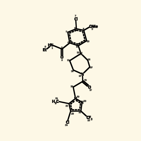 CCNC(=O)c1cc(Cl)c(OC)cc1N1CCN(C(=O)Cn2nc(C(F)(F)F)c(Cl)c2C)CC1